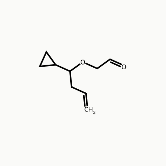 C=CCC(OCC=O)C1CC1